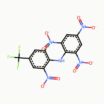 O=[N+]([O-])c1cc([N+](=O)[O-])c(Nc2c(Cl)cc(C(F)(F)F)cc2[N+](=O)[O-])c([N+](=O)[O-])c1